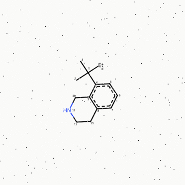 CCC(C)(C)c1cccc2c1CNCC2